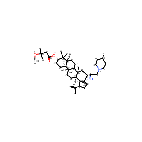 C=C(C)[C@@H]1CC[C@]2(NCCN3CCC(C)CC3)CC[C@]3(C)[C@H](CC[C@@H]4[C@@]5(C)CC[C@H](OC(=O)CC(C)(C)OC=O)C(C)(C)[C@@H]5CC[C@]43C)[C@@H]12